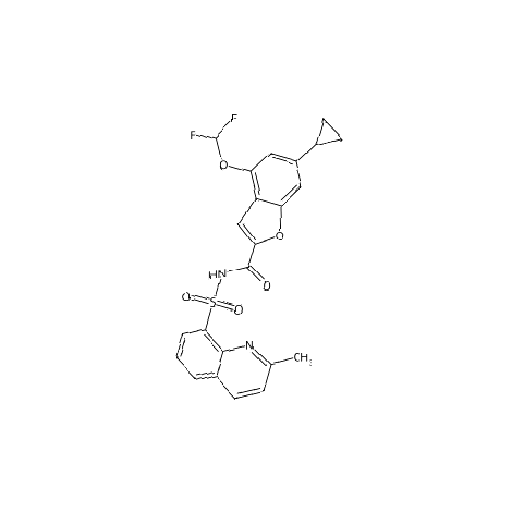 Cc1ccc2cccc(S(=O)(=O)NC(=O)c3cc4c(OC(F)F)cc(C5CC5)cc4o3)c2n1